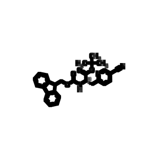 CC(C)(C)OC(=O)[C@H](Cc1ccc(C#N)cn1)NC(=O)OCC1c2ccccc2-c2ccccc21